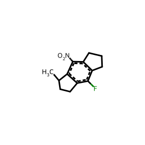 CC1CCc2c(F)c3c(c([N+](=O)[O-])c21)CCC3